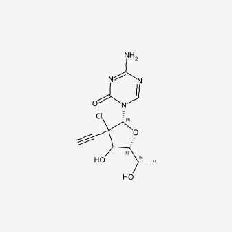 C#CC1(Cl)C(O)[C@@H]([C@H](C)O)O[C@H]1n1cnc(N)nc1=O